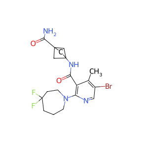 Cc1c(Br)cnc(N2CCCC(F)(F)CC2)c1C(=O)NC12CC(C(N)=O)(C1)C2